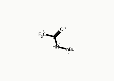 CCC[CH]NC(=O)C(F)(F)F